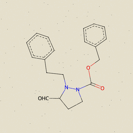 O=CC1CCN(C(=O)OCc2ccccc2)N1CCc1ccccc1